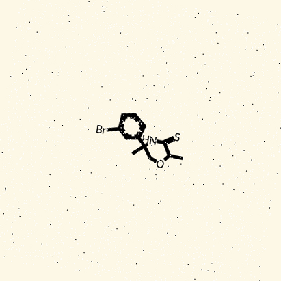 CC1OCC(C)(c2cccc(Br)c2)NC1=S